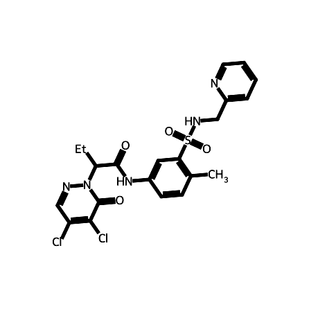 CCC(C(=O)Nc1ccc(C)c(S(=O)(=O)NCc2ccccn2)c1)n1ncc(Cl)c(Cl)c1=O